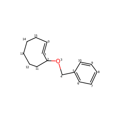 C1=C/C(OCc2ccccc2)CCCCC/1